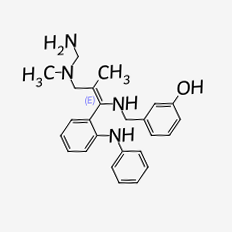 C/C(CN(C)CN)=C(\NCc1cccc(O)c1)c1ccccc1Nc1ccccc1